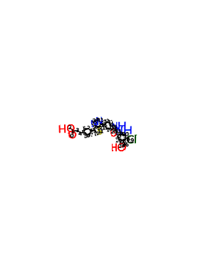 O=C(O)CCc1ccc(-c2csc3c(-c4ccc(NC(=O)Nc5ccc(CO)c(Cl)c5)cc4)ncnc23)cc1